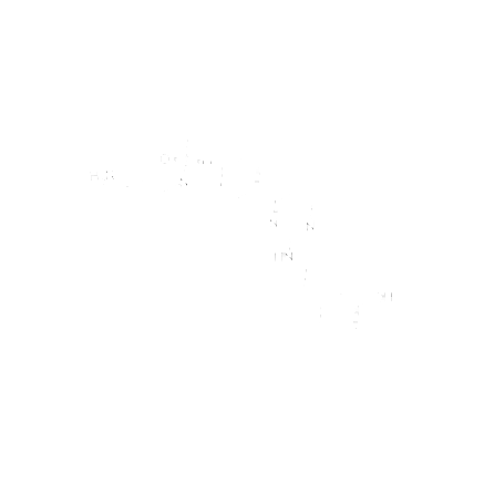 Cc1ccc(CCNc2nccc(-c3cccc(CN(CCCN)S(C)(=O)=O)c3)n2)cc1O